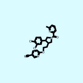 Cc1cccc(C(=O)N2CC(CCOc3ccc(C#N)cn3)C(c3ccc(Cl)c(Cl)c3)C2)n1